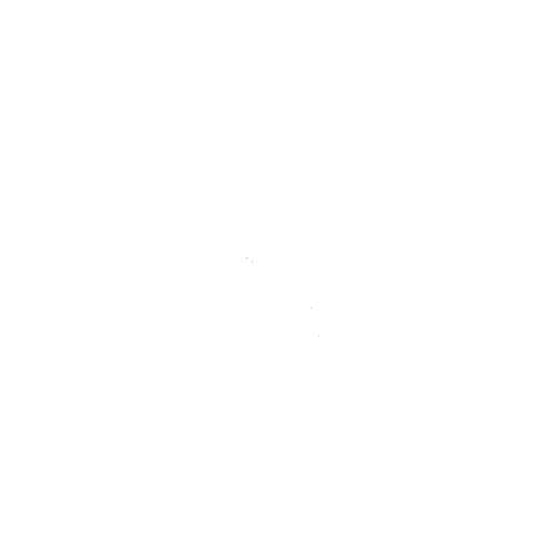 O=C(CC1CC1)N1CCC[C@@H](C(=O)N2CCOCC2)C1